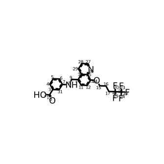 O=C(O)c1cccc(NCc2ccc(OCCCC(F)(F)C(F)(F)F)c3ncccc23)c1